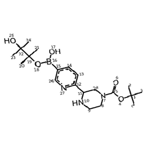 CC(C)(C)OC(=O)N1CCNC(c2ccc(B(O)OC(C)(C)C(C)(C)O)cn2)C1